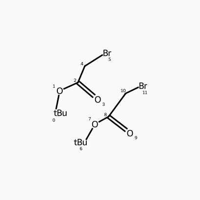 CC(C)(C)OC(=O)CBr.CC(C)(C)OC(=O)CBr